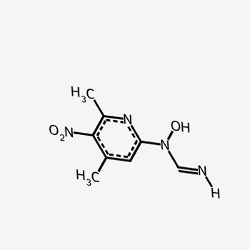 [H]/N=C/N(O)c1cc(C)c([N+](=O)[O-])c(C)n1